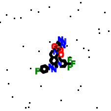 Cn1nncc1S(=O)(=O)N1CCC2=Cc3c(cnn3-c3ccc(F)cc3)C[C@]2(C(=O)c2cc(C(F)(F)F)ccn2)C1